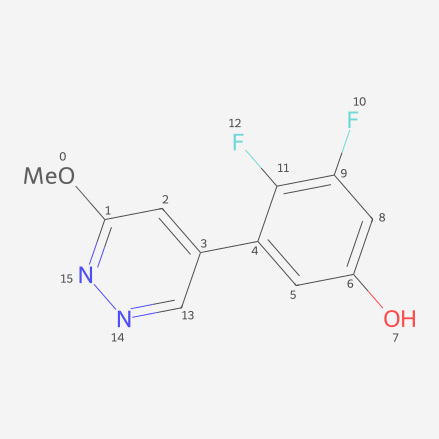 COc1cc(-c2cc(O)cc(F)c2F)cnn1